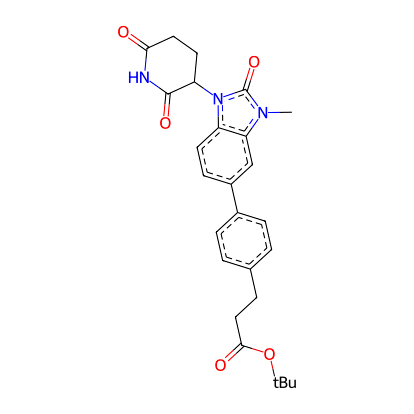 Cn1c(=O)n(C2CCC(=O)NC2=O)c2ccc(-c3ccc(CCC(=O)OC(C)(C)C)cc3)cc21